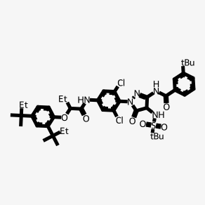 CCC(Oc1ccc(C(C)(C)CC)cc1C(C)(C)CC)C(=O)Nc1cc(Cl)c(N2N=C(NC(=O)c3cccc(C(C)(C)C)c3)C(NS(=O)(=O)C(C)(C)C)C2=O)c(Cl)c1